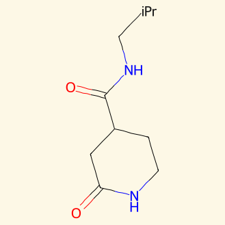 CC(C)CNC(=O)C1CCNC(=O)C1